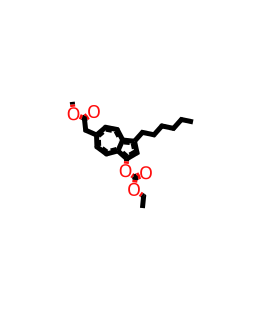 CCCCCCc1cc(OC(=O)OCC)c2ccc(CC(=O)OC)ccc1-2